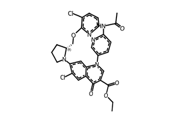 CCOC(=O)c1cn(-c2ccc(NC(C)=O)nc2)c2cc(N3CCC[C@@H]3COc3ncccc3Cl)c(Cl)cc2c1=O